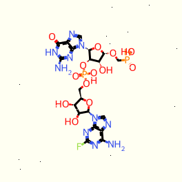 Nc1nc2c(ncn2[C@@H]2O[C@H](OC[PH](=O)O)[C@H](O)[C@@H]2OP(=O)(O)OC[C@H]2O[C@@H](n3cnc4c(N)nc(F)nc43)C(O)[C@H]2O)c(=O)[nH]1